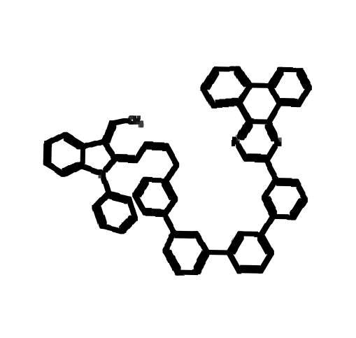 C\C=c1/c(=C\C=C/Cc2cccc(-c3cccc(-c4cccc(-c5cccc(-c6cnc7c8ccccc8c8ccccc8c7n6)c5)c4)c3)c2)n(-c2ccccc2)c2ccccc12